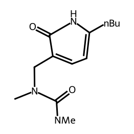 CCCCc1ccc(CN(C)C(=O)NC)c(=O)[nH]1